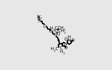 C=C/C=C(/C#CCCN(CCOCCCOCCCN=[N+]=[N-])C(=O)OC(C)(C)C)C1=C(C)C(=O)N(C2CCC(=O)NC2=O)C1